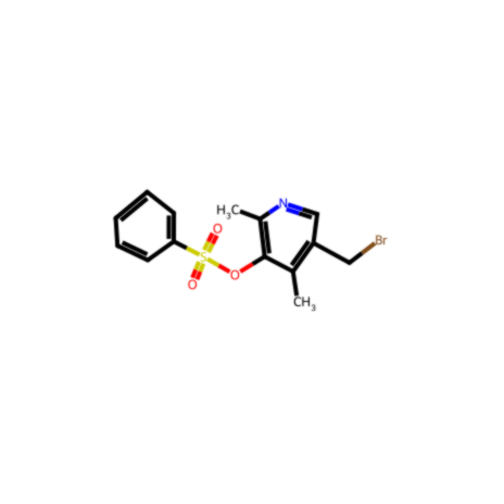 Cc1ncc(CBr)c(C)c1OS(=O)(=O)c1ccccc1